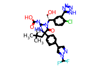 CC(C)(C)CC1(c2ccc(-c3cnn(C(F)F)c3)cc2)NC(=NC(=O)O)N([C@H](CO)c2ccc(Cl)c(-c3nnn[nH]3)c2)C1=O